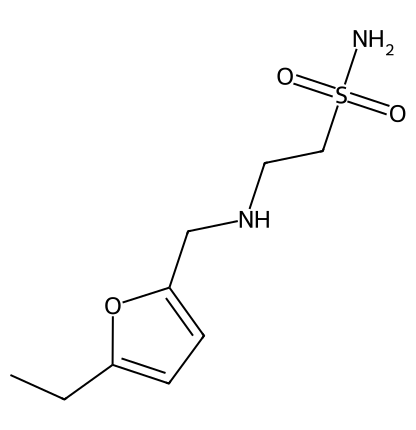 CCc1ccc(CNCCS(N)(=O)=O)o1